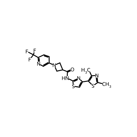 Cc1nc(C)c(-c2csc(NC(=O)C3CN(c4ccc(C(F)(F)F)nc4)C3)n2)s1